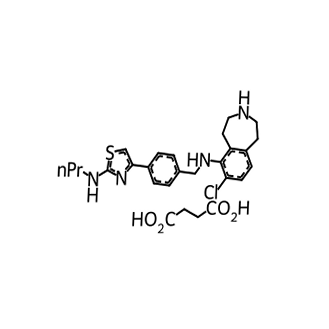 CCCNc1nc(-c2ccc(CNc3c(Cl)ccc4c3CCNCC4)cc2)cs1.O=C(O)CCC(=O)O